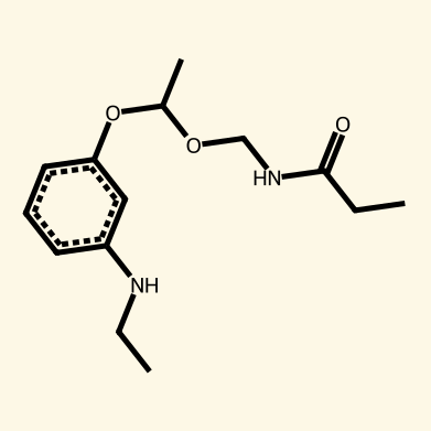 CCNc1cccc(OC(C)OCNC(=O)CC)c1